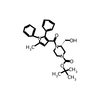 Cc1cc(C(=O)N2CCN(C(=O)OC(C)(C)C)C[C@H]2CO)c(-c2ccccc2)n1-c1ccccc1